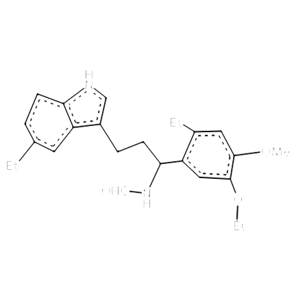 CCOc1cc(C(CCc2c[nH]c3ccc(CC)cc23)NC=O)c(CC)cc1OC